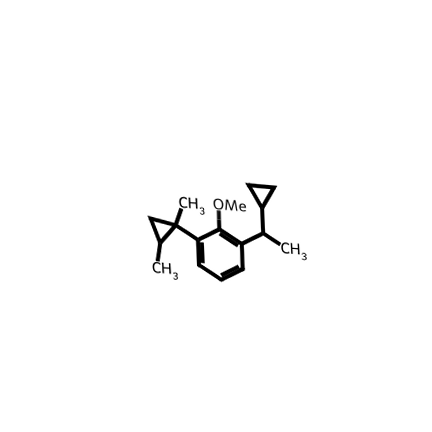 COc1c(C(C)C2CC2)cccc1C1(C)CC1C